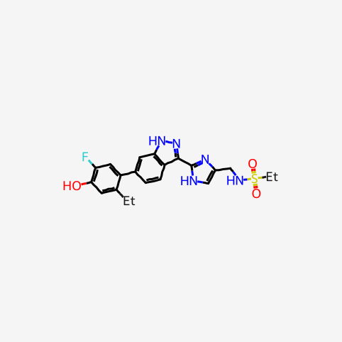 CCc1cc(O)c(F)cc1-c1ccc2c(-c3nc(CNS(=O)(=O)CC)c[nH]3)n[nH]c2c1